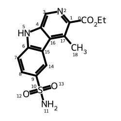 CCOC(=O)c1ncc2[nH]c3ccc(S(N)(=O)=O)cc3c2c1C